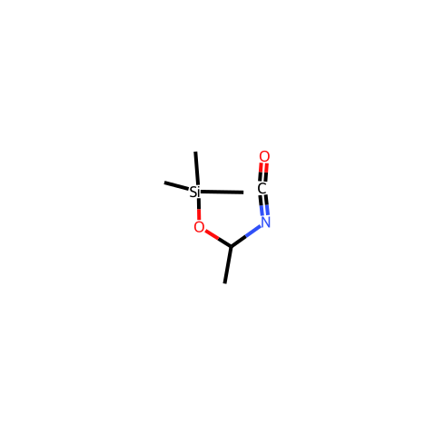 CC(N=C=O)O[Si](C)(C)C